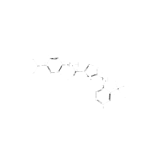 CC(C)c1ccc(NC(=O)c2csc(Nc3ccccc3C(F)(F)F)n2)cc1